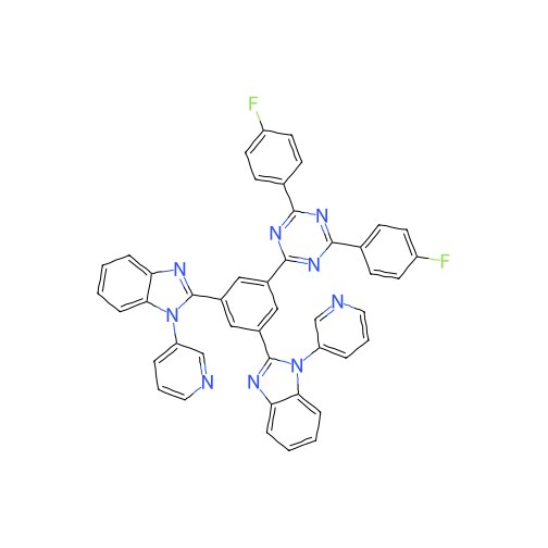 Fc1ccc(-c2nc(-c3ccc(F)cc3)nc(-c3cc(-c4nc5ccccc5n4-c4cccnc4)cc(-c4nc5ccccc5n4-c4cccnc4)c3)n2)cc1